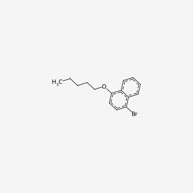 C[CH]CCCOc1ccc(Br)c2ccccc12